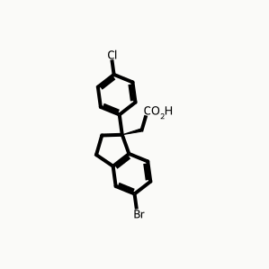 O=C(O)C[C@]1(c2ccc(Cl)cc2)CCc2cc(Br)ccc21